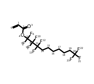 C=CC(=O)OC(F)(F)C(F)(F)C(F)(F)CCCCCCC(F)(F)F